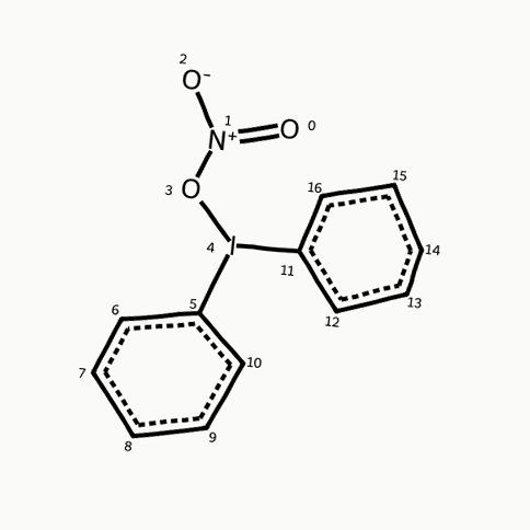 O=[N+]([O-])OI(c1ccccc1)c1ccccc1